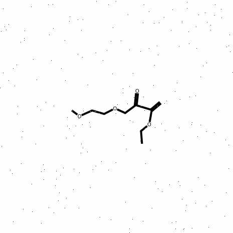 C=C(OCC)C(=O)COCCOC